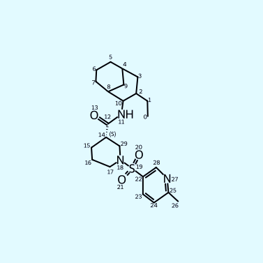 CCC1CC2CCCC(C2)C1NC(=O)[C@H]1CCCN(S(=O)(=O)c2ccc(C)nc2)C1